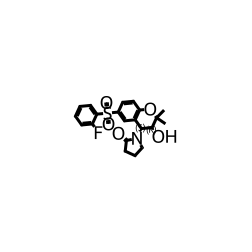 CC1(C)Oc2ccc(S(=O)(=O)c3ccccc3F)cc2[C@H](N2CCCC2=O)[C@H]1O